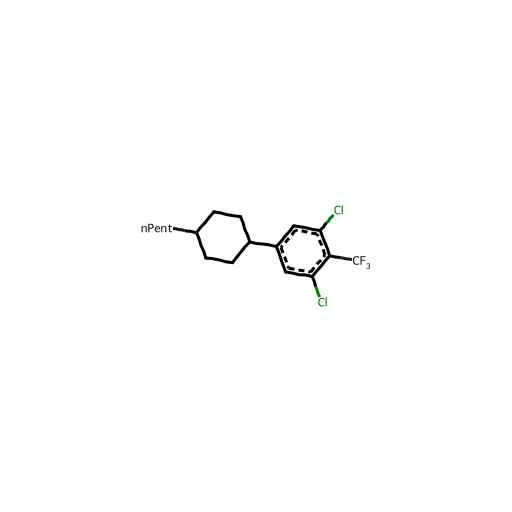 CCCCCC1CCC(c2cc(Cl)c(C(F)(F)F)c(Cl)c2)CC1